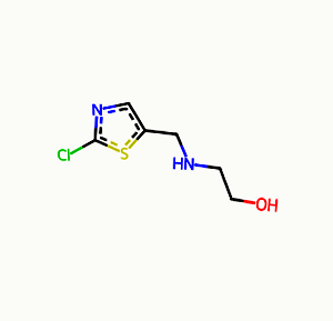 OCCNCc1cnc(Cl)s1